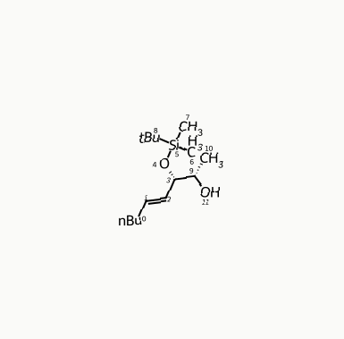 CCCC/C=C/[C@H](O[Si](C)(C)C(C)(C)C)[C@H](C)O